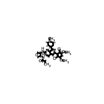 C=CC(=O)N[C@H]1COCC1Nc1ncc2cc(-c3c(Cl)c(OC)cc(OC)c3Cl)nc(C3CCN(C)CC3)c2n1